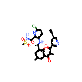 C#Cc1cncc(-c2oc3c([C@@H](C)Nc4ccc(Cl)nc4C(=O)NS(C)(=O)=O)cc(C)cc3c(=O)c2C)c1